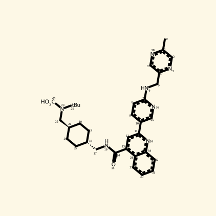 Cc1cnc(CNc2ccc(-c3cc(C(=O)NC[C@H]4CC[C@H](CN(C(=O)O)C(C)(C)C)CC4)c4ccccc4n3)cn2)cn1